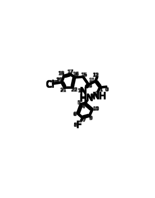 CC(NNc1ccc(F)cc1)=C(C)C(=N)Cc1ccc(Cl)cc1